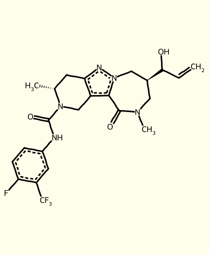 C=CC(O)[C@H]1CN(C)C(=O)c2c3c(nn2C1)C[C@@H](C)N(C(=O)Nc1ccc(F)c(C(F)(F)F)c1)C3